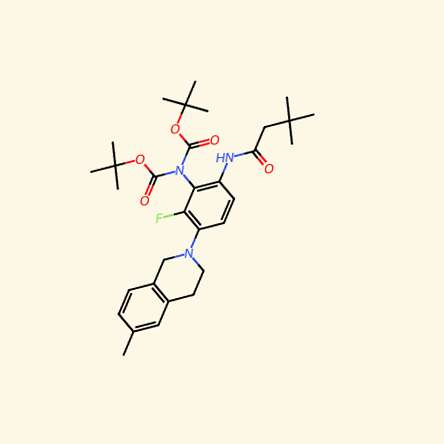 Cc1ccc2c(c1)CCN(c1ccc(NC(=O)CC(C)(C)C)c(N(C(=O)OC(C)(C)C)C(=O)OC(C)(C)C)c1F)C2